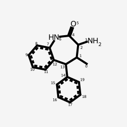 CC1C(N)C(=O)Nc2ccccc2C1c1ccccc1